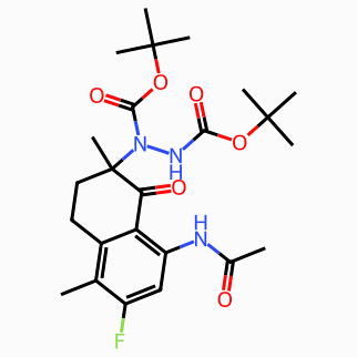 CC(=O)Nc1cc(F)c(C)c2c1C(=O)C(C)(N(NC(=O)OC(C)(C)C)C(=O)OC(C)(C)C)CC2